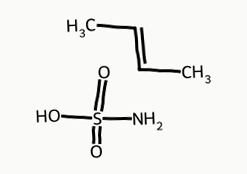 CC=CC.NS(=O)(=O)O